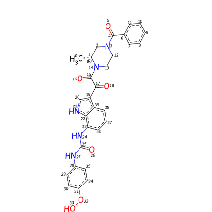 C[C@@H]1CN(C(=O)c2ccccc2)CCN1C(=O)C(=O)c1c[nH]c2c(NC(=O)Nc3ccc(OO)cc3)cccc12